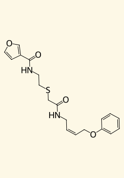 O=C(CSCCNC(=O)c1ccoc1)NC/C=C\COc1ccccc1